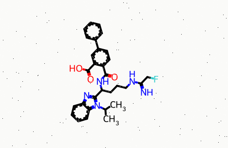 CC(C)n1c(C(CCCNC(=N)CF)NC(=O)c2ccc(-c3ccccc3)cc2C(=O)O)nc2ccccc21